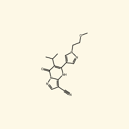 COCCn1cc(-c2[nH]c3c(C#N)cnn3c(=O)c2C(C)C)cn1